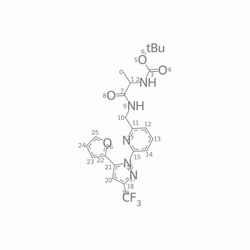 CC(NC(=O)OC(C)(C)C)C(=O)NCc1cccc(-n2nc(C(F)(F)F)cc2-c2ccco2)n1